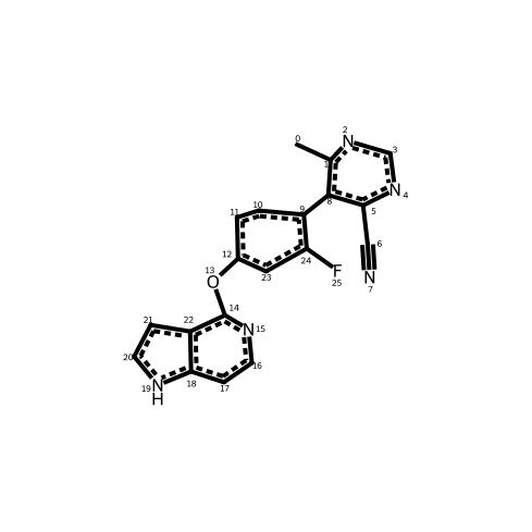 Cc1ncnc(C#N)c1-c1ccc(Oc2nccc3[nH]ccc23)cc1F